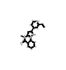 C=Cc1cc(-c2cc3n(C)c(=O)c4ccccc4n3n2)ccn1